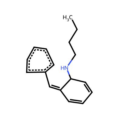 CCCCNC1C=CC=CC1=Cc1ccccc1